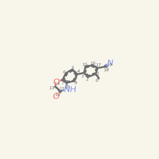 Cc1cc(-c2ccc3c(c2)NC(=O)CO3)ccc1C#N